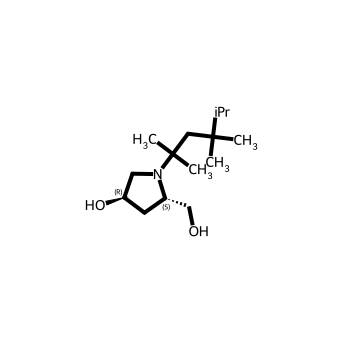 CC(C)C(C)(C)CC(C)(C)N1C[C@H](O)C[C@H]1CO